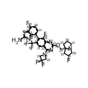 Nc1nc2c(-c3c(C(F)(F)F)cc4c(N5CC(F)(F)C5)nc(OC[C@@]56CCCN5C[C@H](F)C6)nc4c3F)ccc(F)c2s1